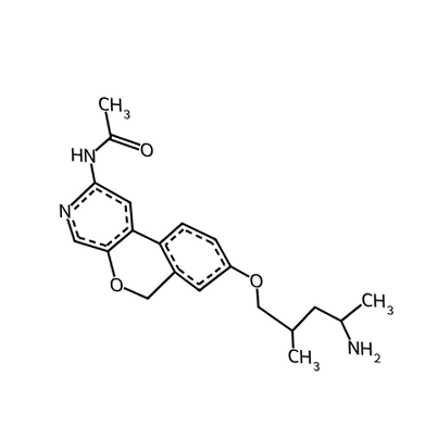 CC(=O)Nc1cc2c(cn1)OCc1cc(OCC(C)CC(C)N)ccc1-2